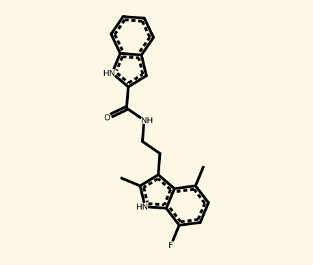 Cc1[nH]c2c(F)ccc(C)c2c1CCNC(=O)c1cc2ccccc2[nH]1